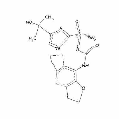 CC(C)(O)c1cnc([S@@](N)(=O)=NC(=O)Nc2c3c(cc4c2OCC4)CCC3)s1